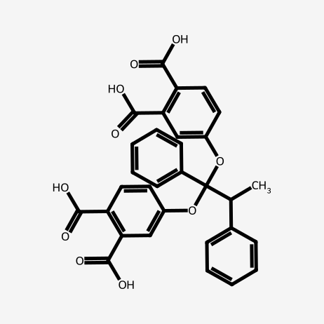 CC(c1ccccc1)C(Oc1ccc(C(=O)O)c(C(=O)O)c1)(Oc1ccc(C(=O)O)c(C(=O)O)c1)c1ccccc1